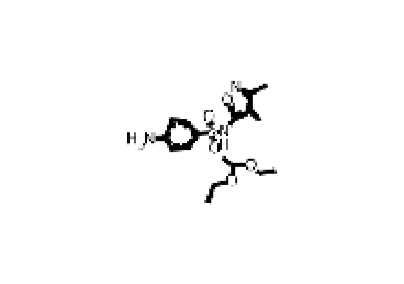 CCOC(C)OCC.Cc1noc(NS(=O)(=O)c2ccc(N)cc2)c1C